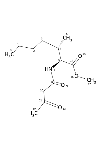 CCCC[C@H](C)[C@H](NC(=O)CC(C)=O)C(=O)OC